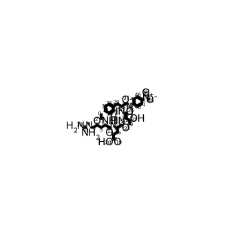 CC(=O)NC(CCCN=C(N)N)C(=O)NC(CCC(=O)O)C(=O)NC(C(=O)NC(Cc1ccccc1)C(=O)Nc1ccc([N+](=O)[O-])cc1)C(C)O